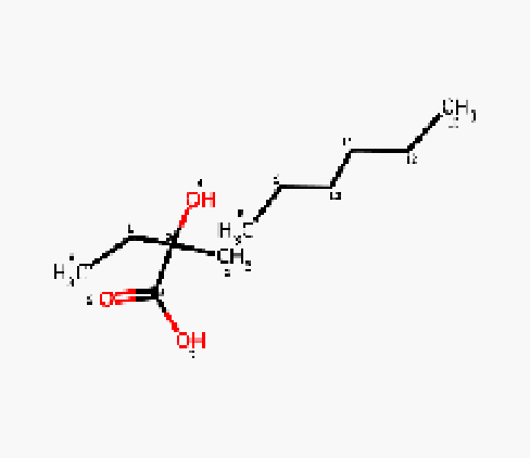 CCC(C)(O)C(=O)O.CCCCCC